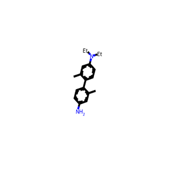 CCN(CC)c1ccc(-c2ccc(N)cc2C)c(C)c1